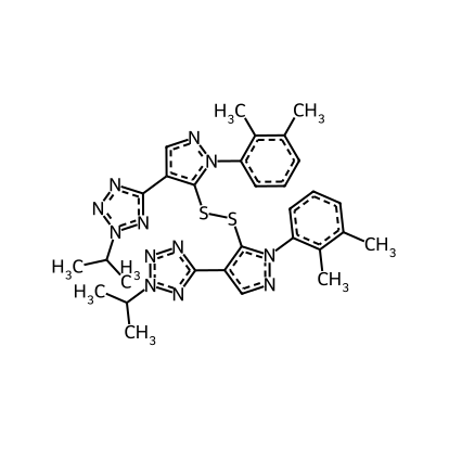 Cc1cccc(-n2ncc(-c3nnn(C(C)C)n3)c2SSc2c(-c3nnn(C(C)C)n3)cnn2-c2cccc(C)c2C)c1C